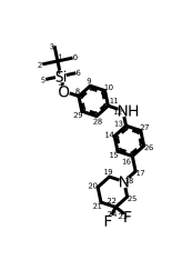 CC(C)(C)[Si](C)(C)Oc1ccc(Nc2ccc(CN3CCCC(F)(F)C3)cc2)cc1